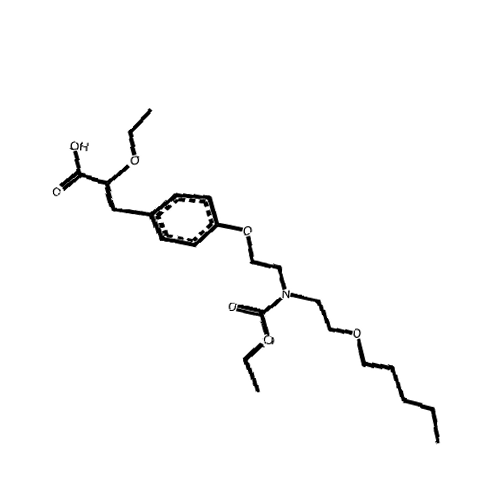 CCCCCOCCN(CCOc1ccc(CC(OCC)C(=O)O)cc1)C(=O)OCC